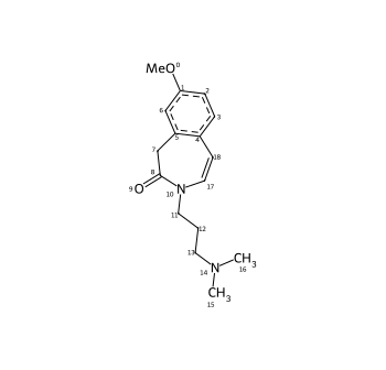 COc1ccc2c(c1)CC(=O)N(CCCN(C)C)C=C2